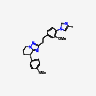 COc1cc(/C=C/c2nc3n(n2)CCCC3c2ccc(SC)cc2)ccc1-n1cnc(C)c1